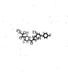 CCc1cc(-c2ccc(F)cc2)nn2cc(C(=O)N3CCN(C(=O)[C@H](O)CC(C)C)[C@@H](C)C3)nc12